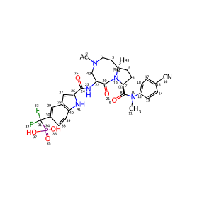 CC(=O)N1CC[C@H]2CC[C@@H](C(=O)N(C)c3ccc(C#N)cc3)N2C(=O)C(NC(=O)c2cc3cc(C(F)(F)P(=O)(O)O)ccc3[nH]2)C1